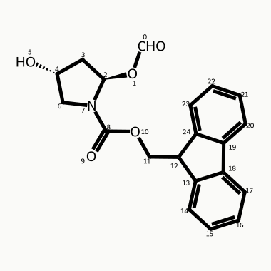 O=CO[C@@H]1C[C@@H](O)CN1C(=O)OCC1c2ccccc2-c2ccccc21